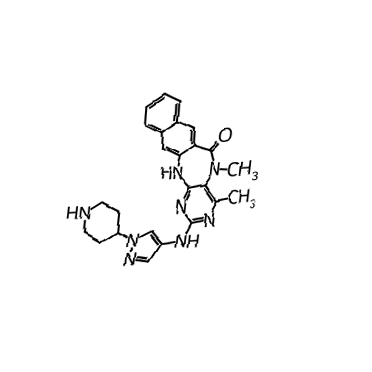 Cc1nc(Nc2cnn(C3CCNCC3)c2)nc2c1N(C)C(=O)c1cc3ccccc3cc1N2